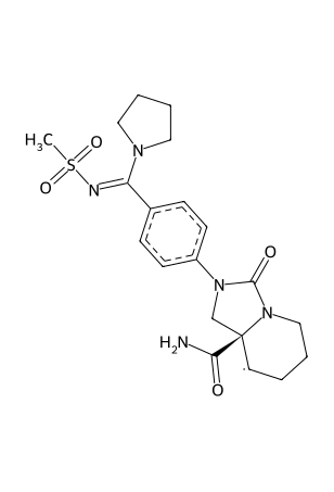 CS(=O)(=O)N=C(c1ccc(N2C[C@@]3(C(N)=O)[CH]CCCN3C2=O)cc1)N1CCCC1